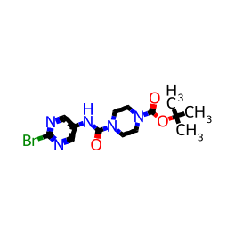 CC(C)(C)OC(=O)N1CCN(C(=O)Nc2cnc(Br)nc2)CC1